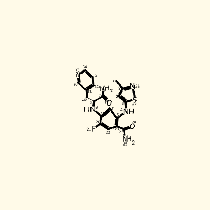 Cc1cc(Nc2cc(N[C@H](Cc3cccnc3)C(N)=O)c(F)cc2C(N)=O)sn1